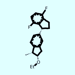 CCO[C@H]1Cc2cc([C@H]3CCc4c(F)ccc(F)c43)ccc2[C@H]1C